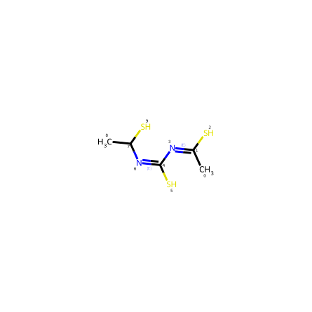 C/C(S)=N\C(S)=N/C(C)S